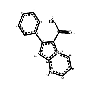 CC(C)(C)C(=O)c1c(-c2ccccc2)nc2ncccn12